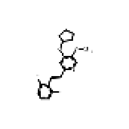 COc1cnc(C=Cc2c(F)cccc2F)cc1OC1CCCC1